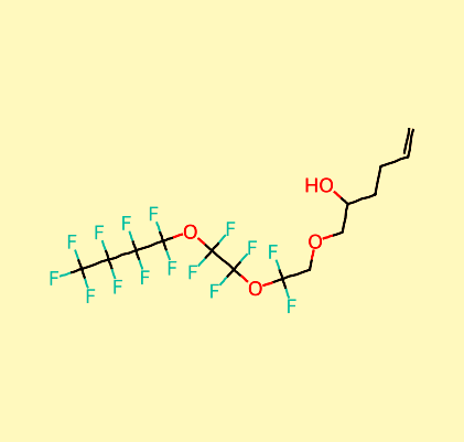 C=CCCC(O)COCC(F)(F)OC(F)(F)C(F)(F)OC(F)(F)C(F)(F)C(F)(F)C(F)(F)F